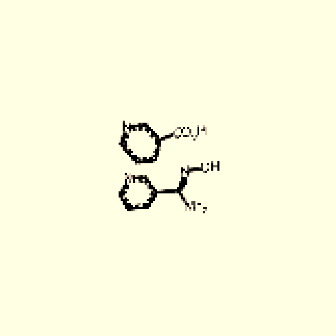 NC(=NO)c1cccnc1.O=C(O)c1cccnc1